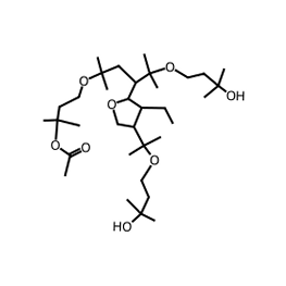 CCC1C(C(CC(C)(C)OCCC(C)(C)OC(C)=O)C(C)(C)OCCC(C)(C)O)OCC1C(C)(C)OCCC(C)(C)O